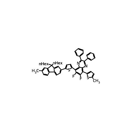 CCCCCCC1(CCCCCC)c2cc(C)ccc2-c2ccc(-c3ccc(-c4c(F)c(F)c(-c5ccc(C)s5)c5nc(-c6ccccc6)c(-c6ccccc6)nc45)s3)cc21